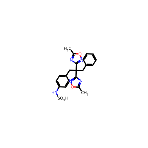 Cc1nc(C(Cc2ccccc2)(Cc2ccc(NS(=O)(=O)O)cc2)c2noc(C)n2)no1